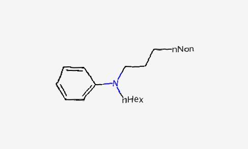 CCCCCCCCCCCCN(CCCCCC)c1ccccc1